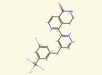 O=C1NCCc2c1ccnc2-c1cc(Cc2cc(F)cc(C(F)(F)F)c2)cnn1